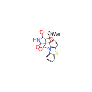 COC(=O)C1C(=O)NC(=O)C12C(=O)N1c3ccccc3Sc3cccc2c31